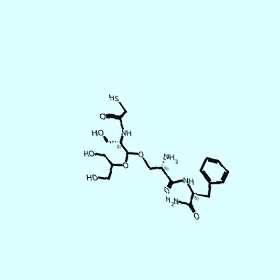 NC(=O)[C@H](Cc1ccccc1)NC(=O)[C@@H](N)COC(OC(CO)CO)[C@H](CO)NC(=O)CS